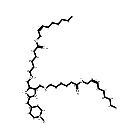 CCCCCC/C=C\COC(=O)CCCCCOCC1OC(CC2CCN(C)CC2)OC1COCCCCCC(=O)OC/C=C\CCCCCC